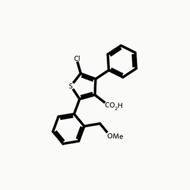 COCc1ccccc1-c1sc(Cl)c(-c2ccccc2)c1C(=O)O